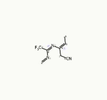 C=N/C(=N\C(=C/C)CC#N)C(F)(F)F